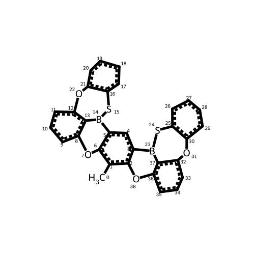 Cc1c2c(cc3c1Oc1cccc4c1B3Sc1ccccc1O4)B1Sc3ccccc3Oc3cccc(c31)O2